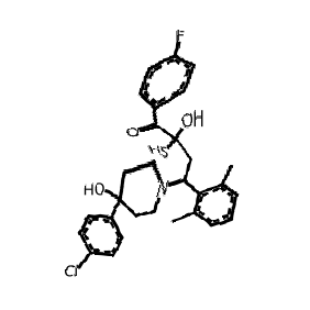 Cc1cccc(C)c1C(CC(O)(S)C(=O)c1ccc(F)cc1)N1CCC(O)(c2ccc(Cl)cc2)CC1